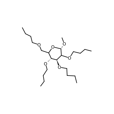 CCCCOCC1O[C@H](OC)C(OCCCC)[C@@H](OCCCC)[C@@H]1OCCCC